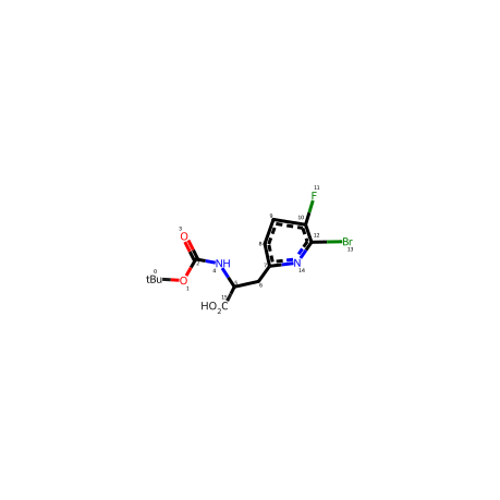 CC(C)(C)OC(=O)NC(Cc1ccc(F)c(Br)n1)C(=O)O